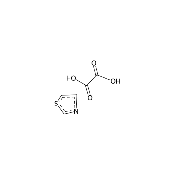 O=C(O)C(=O)O.c1cscn1